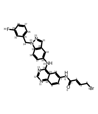 O=C(C=CCBr)Nc1ccc2ncnc(Nc3ccc4c(cnn4Cc4cccc(F)c4)c3)c2c1